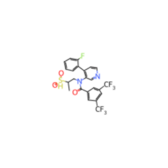 CC(CN(C(=O)c1cc(C(F)(F)F)cc(C(F)(F)F)c1)c1cnccc1-c1ccccc1F)[SH](=O)=O